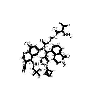 CC(C)C(N)C(=O)OCOC(=O)N(c1cc(Cl)c2ncc(C#N)c(NCC(C)(C)C)c2c1)C(c1cn(C23CC(C2)C3)nn1)c1cccc2c(=O)n(C)ccc12